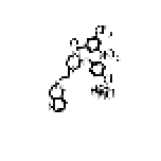 Cl.Cl.Cl.O=C(c1cc([N+](=O)[O-])cc(C(F)(F)F)c1)N1CCN(CCN2CCc3ncccc3C2)C[C@H]1Cc1ccc(Cl)cc1